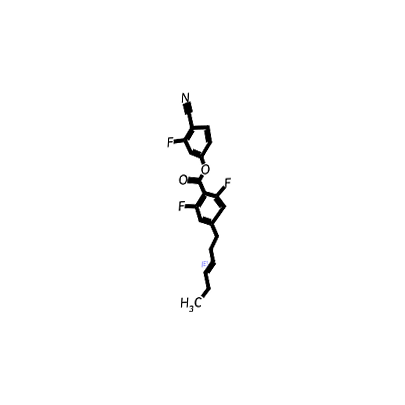 CC/C=C/CCc1cc(F)c(C(=O)Oc2ccc(C#N)c(F)c2)c(F)c1